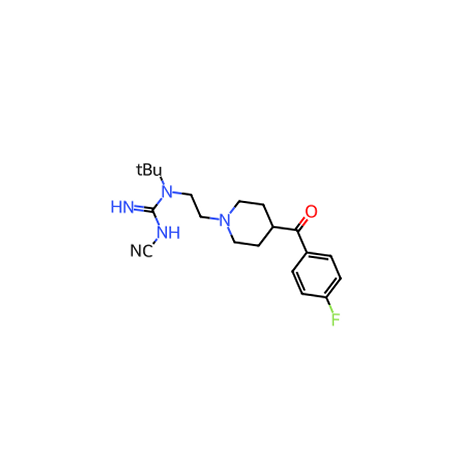 CC(C)(C)N(CCN1CCC(C(=O)c2ccc(F)cc2)CC1)C(=N)NC#N